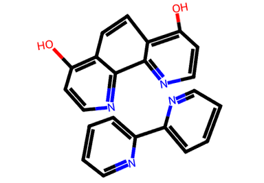 Oc1ccnc2c1ccc1c(O)ccnc12.c1ccc(-c2ccccn2)nc1